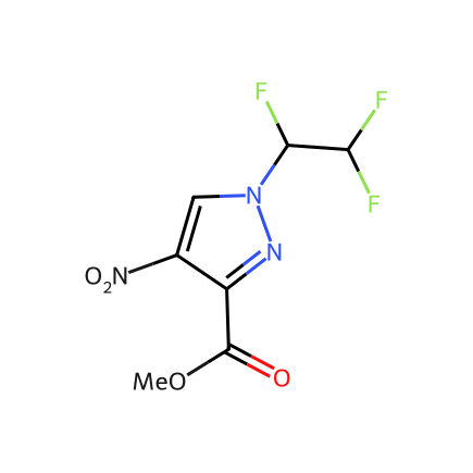 COC(=O)c1nn(C(F)C(F)F)cc1[N+](=O)[O-]